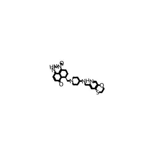 O=C1C=Cc2n[nH][n+](=O)c3c2C1[C@H](CN1CCC(NCc2cc4c(cn2)OCCS4)CC1)CC3